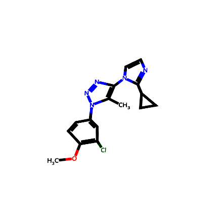 COc1ccc(-n2nnc(-n3ccnc3C3CC3)c2C)cc1Cl